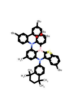 Cc1cc2c3c(c1)N(c1ccc4c(c1)C(C)(C)CCC4(C)C)c1c(sc4ccc(C(C)(C)C)cc14)B3c1ccc(C(C)(C)C)cc1N2c1ccc(C(C)(C)C)cc1-c1cc(C(C)(C)C)cc(C(C)(C)C)c1